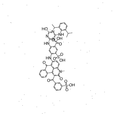 CC(C)c1cccc(C(C)C)c1Nc1nc(O)nc(Nc2cc(Nc3ccc4c5c3C(=O)c3ccccc3-c5c(C(=O)c3cccc(S(=O)(=O)O)c3)c(=O)n4C)c(S(=O)(=O)O)cc2S(=O)(=O)O)n1